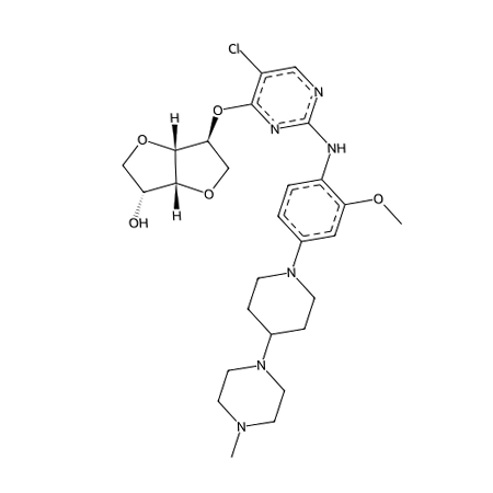 COc1cc(N2CCC(N3CCN(C)CC3)CC2)ccc1Nc1ncc(Cl)c(O[C@H]2CO[C@H]3[C@@H]2OC[C@H]3O)n1